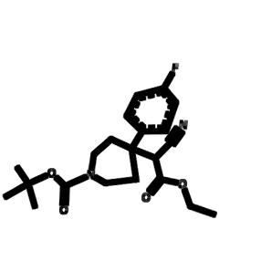 CCOC(=O)C(C#N)C1(c2ccc(F)cc2)CCN(C(=O)OC(C)(C)C)CC1